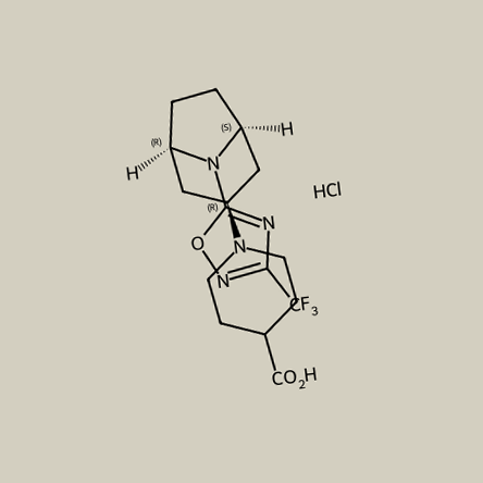 Cl.O=C(O)C1CCN([C@H]2C[C@H]3CC[C@@H](C2)N3c2nc(C(F)(F)F)no2)CC1